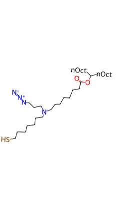 CCCCCCCCC(CCCCCCCC)OC(=O)CCCCCCCN(CCCCCCCS)CCCN=[N+]=[N-]